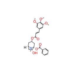 COc1cc(/C=C/C(=O)O[C@@H]2C[C@@H]3C[C@@H](O)[C@](OC(=O)c4ccccc4)(C2)N3C)cc(OC)c1OC